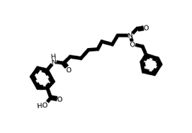 O=CN(CCCCCCCC(=O)Nc1cccc(C(=O)O)c1)OCc1ccccc1